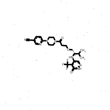 CC(C)[C@@H](COCCC(=O)N1CCN(c2ccc(C#N)cn2)CC1)Nc1cn[nH]c(=O)c1C(F)(F)F